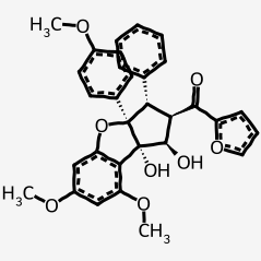 COc1ccc([C@@]23Oc4cc(OC)cc(OC)c4[C@]2(O)[C@H](O)[C@H](C(=O)c2ccco2)[C@H]3c2ccccc2)cc1